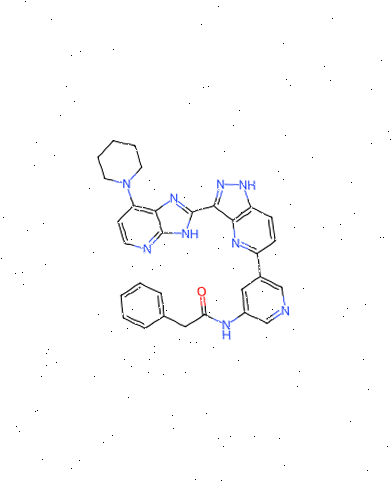 O=C(Cc1ccccc1)Nc1cncc(-c2ccc3[nH]nc(-c4nc5c(N6CCCCC6)ccnc5[nH]4)c3n2)c1